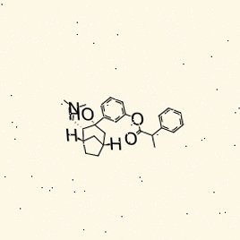 CC(C(=O)Oc1cccc([C@@]2(O)C[C@@H]3CC[C@@H](C3)[C@@H]2CN(C)C)c1)c1ccccc1